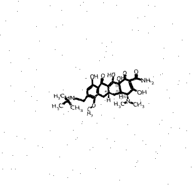 COc1c(CNC(C)(C)C)cc(O)c2c1C[C@H]1C[C@H]3[C@H](N(C)C)C(O)=C(C(N)=O)C(=O)[C@@]3(O)C(O)=C1C2=O